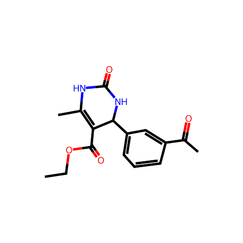 CCOC(=O)C1=C(C)NC(=O)NC1c1cccc(C(C)=O)c1